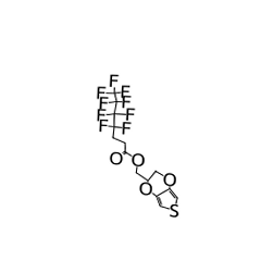 O=C(CCC(F)(F)C(F)(F)C(F)(F)C(F)(F)F)OCC1COc2cscc2O1